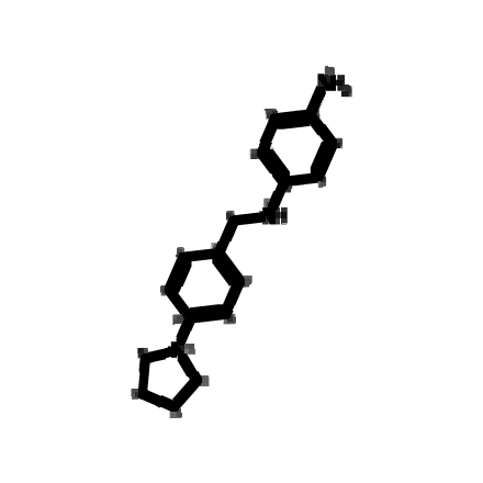 Nc1ccc(NCc2ccc(N3CCCC3)cc2)cc1